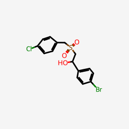 O=S(=O)(Cc1ccc(Cl)cc1)CC(O)c1ccc(Br)cc1